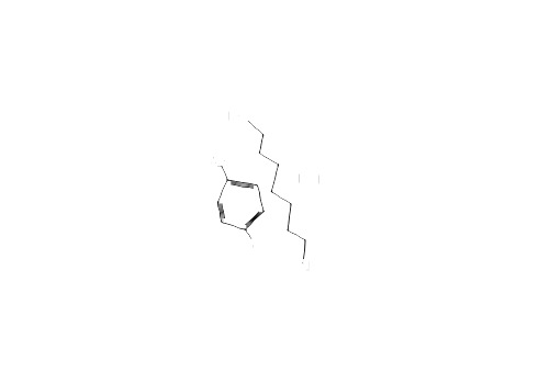 CCCCCCC[CH2][Al+2].Cc1cc[c]([Al+2])cc1.[H-].[H-].[H-].[H-]